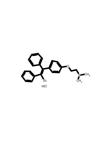 CCC(=C(c1ccccc1)c1ccc(OCCN(C)C)cc1)c1ccccc1.Cl